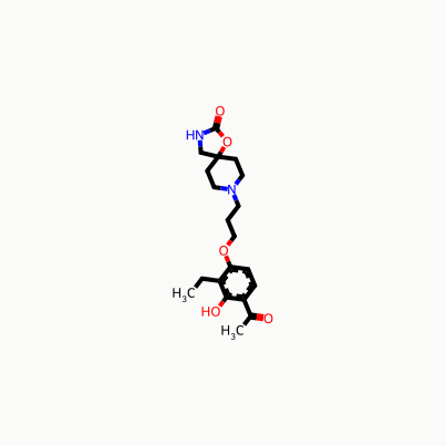 CCc1c(OCCCN2CCC3(CC2)CNC(=O)O3)ccc(C(C)=O)c1O